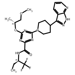 CC[C@@H](NC(=O)c1nc(O[C@H](C)COC)nc(N2CCC(c3n[nH]c4ncccc34)CC2)n1)C(F)(F)F